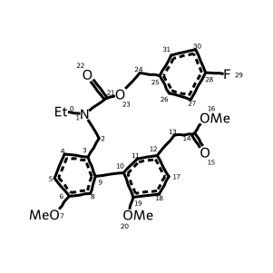 CCN(Cc1ccc(OC)cc1-c1cc(CC(=O)OC)ccc1OC)C(=O)OCc1ccc(F)cc1